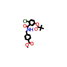 COC(=O)c1ccc(CNC(=O)c2cc(OC(=O)C(C)(C)C)ccc2Cl)cc1